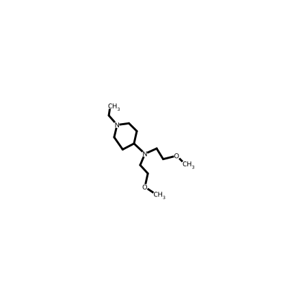 CCN1CCC(N(CCOC)CCOC)CC1